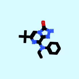 CCN(C1=CCCCC1)c1nc(C(C)(C)C)cn2c(=O)[nH]nc12